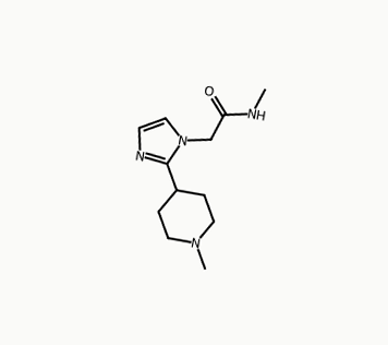 CNC(=O)Cn1ccnc1C1CCN(C)CC1